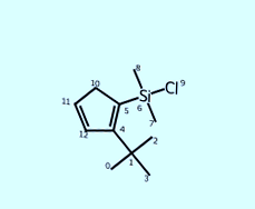 CC(C)(C)C1=C([Si](C)(C)Cl)CC=C1